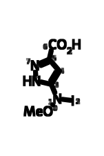 CON(I)c1cc(C(=O)O)n[nH]1